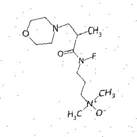 CC(CN1CCOCC1)C(=O)N(F)CCC[N+](C)(C)[O-]